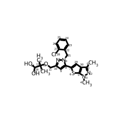 Cc1nn(C)c2sc(-c3cc(COC(C)(C)C(O)O)nn3Cc3ccccc3Cl)cc12